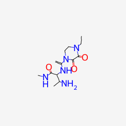 C=C(NC(C(=O)NC)C(C)N)N1CCN(CC)C(=O)C1=O